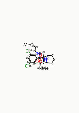 CNC[C@@H]1C2CCCC(N2S(=O)(=O)c2cc(Cl)cc(Cl)c2)C12CN(CCOC)C2=O